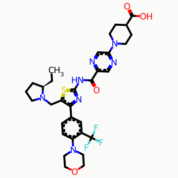 CC[C@@H]1CCCN1Cc1sc(NC(=O)c2cnc(N3CCC(C(=O)O)CC3)cn2)nc1-c1ccc(N2CCOCC2)c(C(F)(F)F)c1